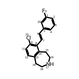 Fc1cccc(C=Cc2c(Cl)ccc3c2CCNCC3)c1